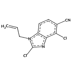 C=CCn1c(Cl)nc2c(Cl)c(C#N)ccc21